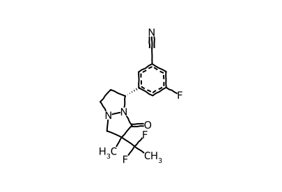 CC(F)(F)C1(C)CN2CC[C@H](c3cc(F)cc(C#N)c3)N2C1=O